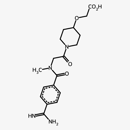 CN(CC(=O)N1CCC(OCC(=O)O)CC1)C(=O)c1ccc(C(=N)N)cc1